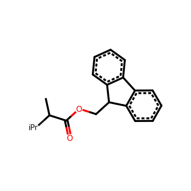 CC(C)C(C)C(=O)OCC1c2ccccc2-c2ccccc21